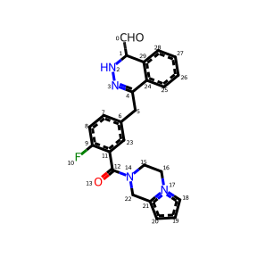 O=CC1NN=C(Cc2ccc(F)c(C(=O)N3CCn4cccc4C3)c2)c2ccccc21